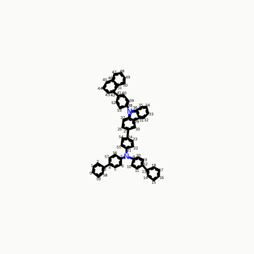 c1ccc(-c2ccc(N(c3ccc(-c4ccccc4)cc3)c3ccc(-c4ccc5c(c4)c4ccccc4n5-c4ccc(-c5cccc6ccccc56)cc4)cc3)cc2)cc1